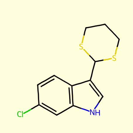 Clc1ccc2c(C3SCCCS3)c[nH]c2c1